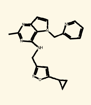 Cc1nc(NCc2cc(C3CC3)on2)c2c(ccn2Cc2ccccn2)n1